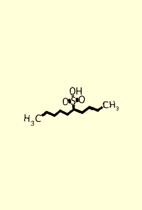 CCCCCC(CCCC)S(=O)(=O)O